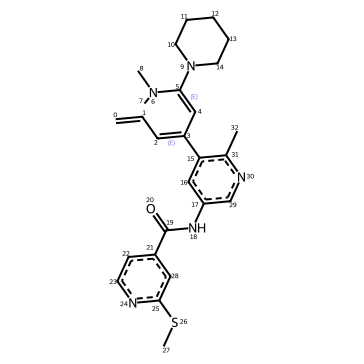 C=C/C=C(\C=C(/N(C)C)N1CCCCC1)c1cc(NC(=O)c2ccnc(SC)c2)cnc1C